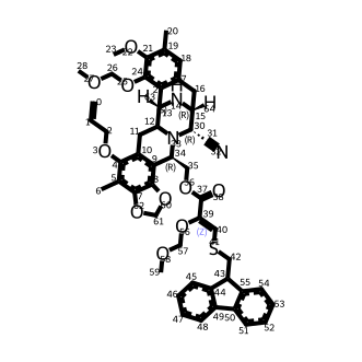 C=CCOc1c(C)c2c(c3c1CC1[C@H]4N[C@H](Cc5cc(C)c(OC)c(OCOC)c54)[C@H](C#N)N1[C@H]3COC(=O)/C(=C/SCC1c3ccccc3-c3ccccc31)OCOC)OCO2